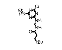 CCNc1nc(Cl)nc(NCNC(=O)CCC(C)(C)C)n1